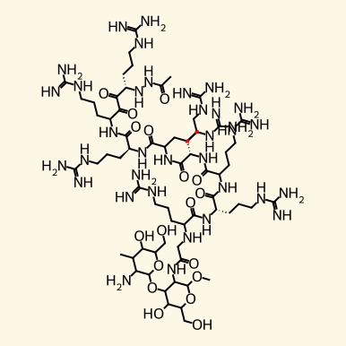 COC1OC(CO)C(O)C(OC2OC(CO)C(O)C(C)C2N)C1NC(=O)CNC(CCCNC(=N)N)C(=O)N[C@@H](CCCNC(=N)N)C(=O)NC(CCCNC(=N)N)C(=O)N[C@@H](CCCNC(=N)N)C(=O)NC(CCCNC(=N)N)C(=O)N[C@@H](CCCNC(=N)N)C(=O)NC(CCCNC(=N)N)C(=O)C(=O)[C@H](CCCNC(=N)N)NNC(C)=O